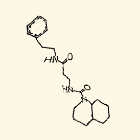 O=C(CCNC(=O)N1CCCC2CCCCC21)NCCc1ccccc1